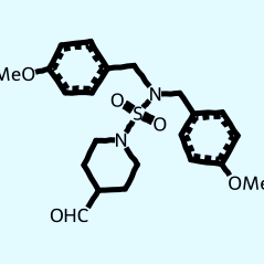 COc1ccc(CN(Cc2ccc(OC)cc2)S(=O)(=O)N2CCC(C=O)CC2)cc1